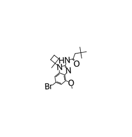 COc1cc(Br)cc2c1nc(NC(=O)CC(C)(C)C)n2C1(C)CCC1